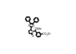 CCOC(=O)c1cccc(C(OC)N2C(=O)CCC2c2nc(-c3ccccc3)c(-c3ccccc3)o2)c1